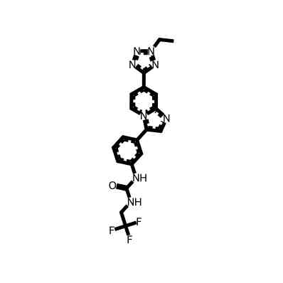 CCn1nnc(-c2ccn3c(-c4cccc(NC(=O)NCC(F)(F)F)c4)cnc3c2)n1